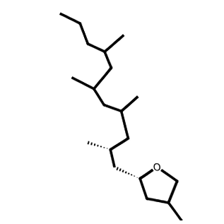 CCCC(C)CC(C)CC(C)C[C@@H](C)C[C@H]1CC(C)CO1